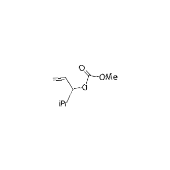 C=CC(OC(=O)OC)C(C)C